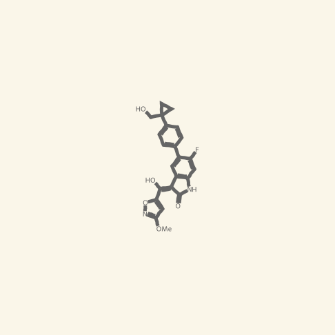 COc1cc(C(O)=C2C(=O)Nc3cc(F)c(-c4ccc(C5(CO)CC5)cc4)cc32)on1